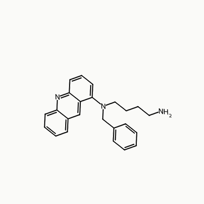 NCCCCN(Cc1ccccc1)c1cccc2nc3ccccc3cc12